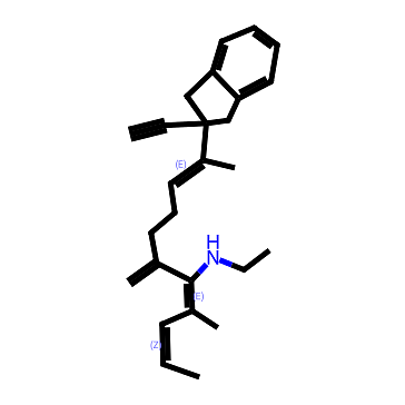 C#CC1(/C(C)=C/CCC(=C)/C(NCC)=C(C)\C=C/C)Cc2ccccc2C1